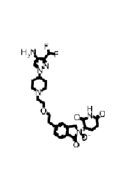 Nc1cn(C2CCN(CCOCCc3ccc4c(c3)C[N+]([O-])(C3CCC(=O)NC3=O)C4=O)CC2)nc1C(F)F